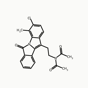 CC(=O)N(CCc1c2n(c3c(C)c(Cl)ccc13)C(=O)c1ccccc1-2)C(C)=O